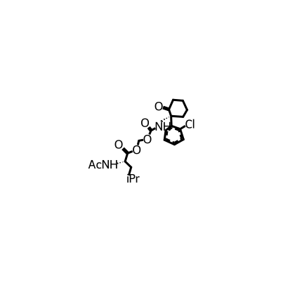 CC(=O)N[C@@H](CC(C)C)C(=O)OCOC(=O)NC[C@@]1(c2ccccc2Cl)CCCCC1=O